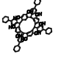 Oc1cc(O)c2cc1C(c1ccc(C3CCCCC3)cc1)c1cc(c(O)cc1O)C(c1ccc(C3CCCCC3)cc1)c1cc(c(O)cc1O)C(c1ccc(C3CCCCC3)cc1)c1cc(c(O)cc1O)C2c1ccc(C2CCCCC2)cc1